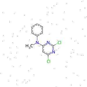 CN(c1ccccc1)c1cc(Cl)nc(Cl)n1